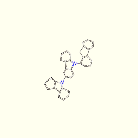 c1ccc2c(c1)Cc1c-2cccc1-n1c2ccccc2c2cc(-n3c4ccccc4c4ccccc43)ccc21